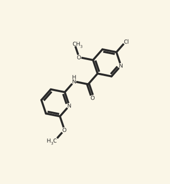 COc1cccc(NC(=O)c2cnc(Cl)cc2OC)n1